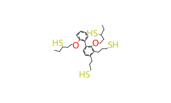 CCC(S)CCOc1ccccc1-c1ccc(CCCS)c(CCCS)c1OCCC(S)CC